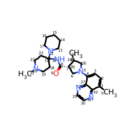 Cc1ccc(N2C[C@H](C(=O)NC3(N4CCCCC4)CCN(C)CC3)[C@@H](C)C2)c2nccnc12